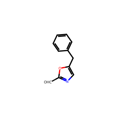 O=Cc1ncc(Cc2ccccc2)o1